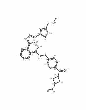 COCc1cc(-c2nnc3c4ccccc4c(OCc4ccc(C(=O)N5CC(OC)C5)cn4)nn23)no1